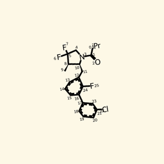 CC(C)C(=O)N1CC(F)(F)[C@H](C)[C@@H]1Cc1cccc(-c2cccc(Cl)c2)c1F